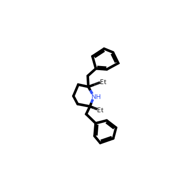 CCC1(Cc2ccccc2)CCCC(CC)(Cc2ccccc2)N1